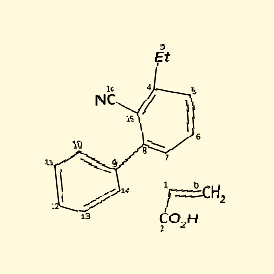 C=CC(=O)O.CCc1cccc(-c2ccccc2)c1C#N